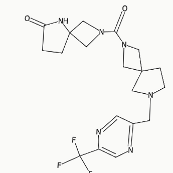 O=C1CCC2(CN(C(=O)N3CC4(CCN(Cc5cnc(C(F)(F)F)cn5)C4)C3)C2)N1